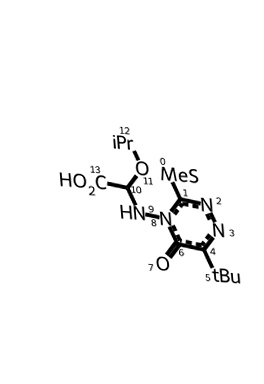 CSc1nnc(C(C)(C)C)c(=O)n1NC(OC(C)C)C(=O)O